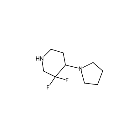 FC1(F)CNCCC1N1CCCC1